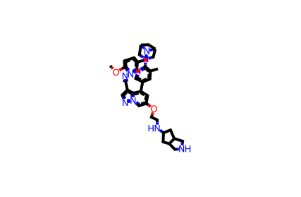 COc1ccc(CN2C3CC2CN(c2ncc(-c4cc(OCCNC5CC6CNCC6C5)cn5ncc(C#N)c45)cc2C)C3)cn1